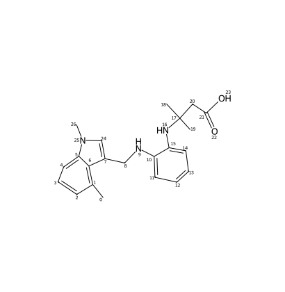 Cc1cccc2c1c(CNc1ccccc1NC(C)(C)CC(=O)O)cn2C